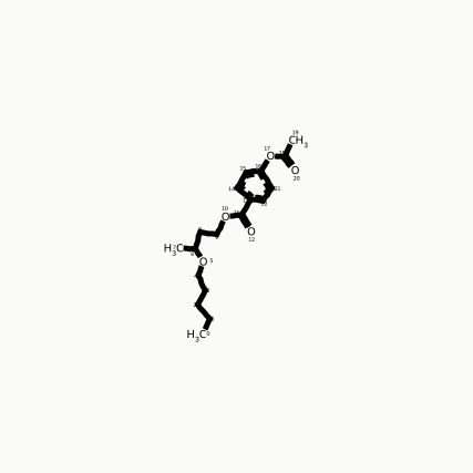 CCCCCOC(C)CCOC(=O)c1ccc(OC(C)=O)cc1